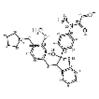 COc1cc(CC2c3ccccc3SC2(O)c2ccc(N(N)C(=O)C=O)cc2)ccc1CN1CCCC1